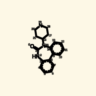 O=C1Nc2ccccc2-c2ccccc2N1C1CC[N]CC1